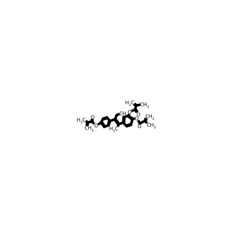 C=C(C)C(=O)Oc1ccc(/C(CC)=C(\C)c2ccc(OC(=O)C(=C)C)c(OC(=O)C(=C)C)c2)cc1